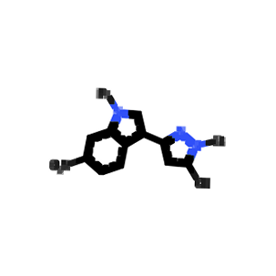 CCn1nc(-c2cn(C(C)C)c3cc([N+](=O)[O-])ccc23)cc1C#N